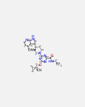 COc1ccnc2[nH]cc(C3CCN(c4nc(OCC5(C#N)CC5)nc(C(=O)NCC(F)(F)F)n4)CC3)c12